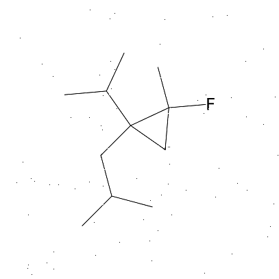 CC(C)CC1(C(C)C)CC1(C)F